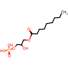 CCCCCCCCC(=O)OCC(O)COP(=O)(O)O